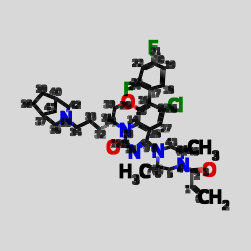 C=CC(=O)N1C[C@H](C)N(c2nc(=O)n3c4c(c(-c5ccc(F)cc5F)c(Cl)cc24)OC[C@H]3CCCN2CC3CCC(C3)C2)C[C@H]1C